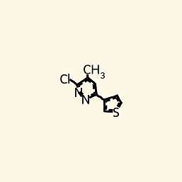 Cc1cc(-c2ccsc2)nnc1Cl